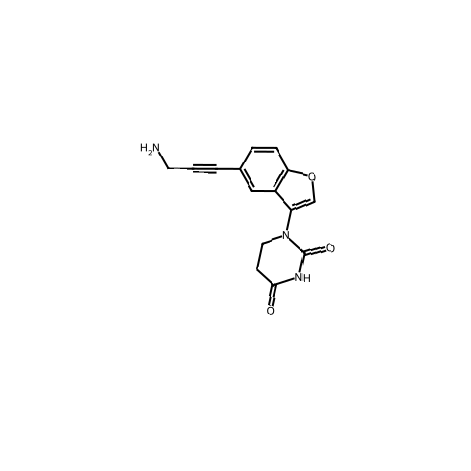 NCC#Cc1ccc2occ(N3CCC(=O)NC3=O)c2c1